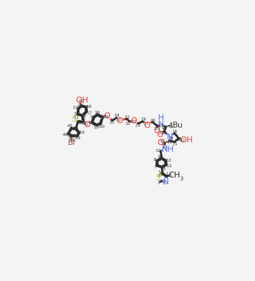 Cc1ncsc1-c1ccc(CNC(=O)[C@@H]2C[C@@H](O)CN2C(=O)[C@@H](NC(=O)COCCOCCOCCOc2ccc(Oc3c(-c4ccc(Br)cc4)sc4cc(O)ccc34)cc2)C(C)(C)C)cc1